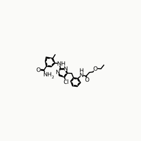 CCOCCC(=O)Nc1ccccc1Cc1nc(Nc2cc(C(N)=O)ccc2C)ncc1Cl